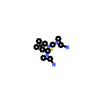 N#Cc1ccc2c(c1)c1ccccc1n2-c1ccc2c(c1)Sc1cc(-n3c4ccccc4c4cc(C#N)ccc43)ccc1N2c1cccc([Si](c2ccccc2)(c2ccccc2)c2ccccc2)c1